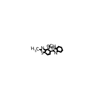 COc1c(-c2nc3ccccc3[nH]2)ccc2sc(C)nc12